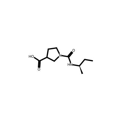 CC[C@@H](C)NC(=O)N1CCC(C(=O)O)C1